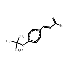 CCOC(=O)C(C)(C)Oc1ccc(C=CC(=O)CC)cc1